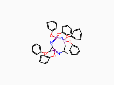 CC1CP(Oc2ccccc2)(Oc2ccccc2)=NP(Oc2ccccc2)(Oc2ccccc2)=NC2C(Oc3ccccc3)P2(Oc2ccccc2)=N1